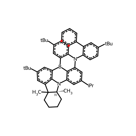 CC(C)c1cc2c3c(c1)N1c4c(cc(C(C)(C)C)cc4C4(C)CCCC[C@]14C)B3c1cc(C(C)(C)C)ccc1N2c1ccc(C(C)(C)C)cc1-c1ccccc1